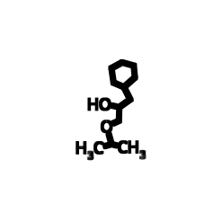 CC(C)OCC(O)CC1CCCCC1